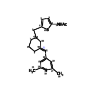 CC(=O)Nc1ccc(CN2CCC/C(=C\c3cc(C)nc(C)c3)C2)s1